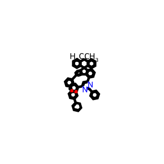 CC1(C)c2ccccc2C2(c3ccc(-c4cccc(-c5ccc(C6=CC=CCC6)cc5)c4)cc3-c3c(-c4cc(-c5ccccc5)nc(-c5ccccc5)n4)cccc32)c2ccccc21